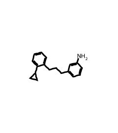 Nc1cccc(CCCc2ccccc2C2CC2)c1